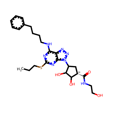 CCCSc1nc(NCCCCc2ccccc2)c2nnn(C3C[C@H](C(=O)NCCO)C(O)C3O)c2n1